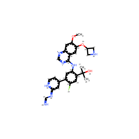 COc1cc2ncnc(Nc3cc(-c4cc[nH]/c(=N\C=N)c4)c(F)cc3C(C)(C)O)c2cc1OC1CNC1